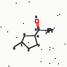 CC1CCC(C(=O)C(C)C)C1